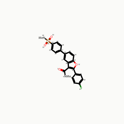 CNC(=O)c1c(-c2ccc(F)cc2)oc2ccc(-c3ccc(S(=O)(=O)NC)cc3)cc12